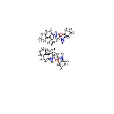 CN1/C(=C/C2=[N+](C)c3ccc4ccccc4c3C2(C)CCCCC2(C)C(/C=C3\Oc4ccccc4N3C)=[N+](C)c3ccc4ccccc4c32)Oc2ccccc21